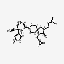 CN(C)CCN1CC2(CCN(C3=CN=CC(C#N)(c4cnn(C)c4)N3)CC2)N(CC2CC2)C1=O